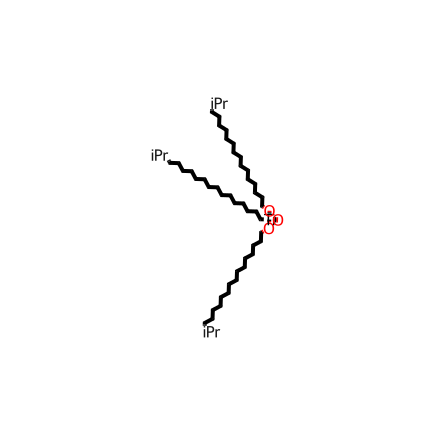 CC(C)CCCCCCCCCCCCCCC[O][Ti](=[O])([CH2]CCCCCCCCCCCCCCC(C)C)[O]CCCCCCCCCCCCCCCC(C)C